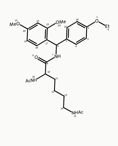 CCOc1ccc(C(NC(=O)C(CCCCNC(C)=O)NC(C)=O)c2ccc(OC)cc2OC)cc1